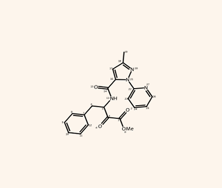 COC(=O)C(=O)C(Cc1ccccc1)NC(=O)c1cc(C)nn1-c1ccccn1